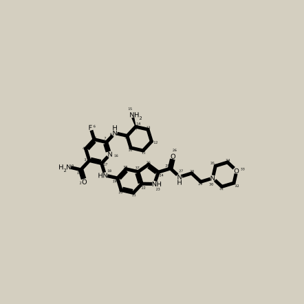 NC(=O)c1cc(F)c(NC2CCCC[C@@H]2N)nc1Nc1ccc2[nH]c(C(=O)NCCN3CCOCC3)cc2c1